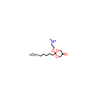 CCCCCCCCCCCCCCCC1(OCCN(C)C)OCC(=O)CO1